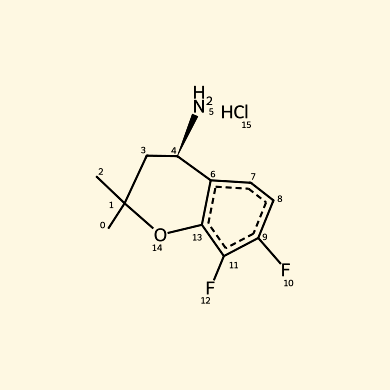 CC1(C)C[C@@H](N)c2ccc(F)c(F)c2O1.Cl